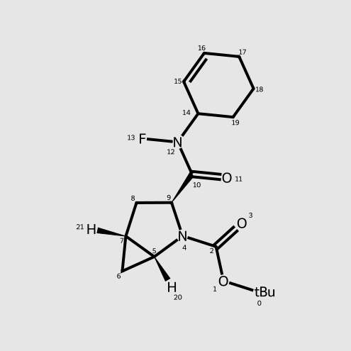 CC(C)(C)OC(=O)N1[C@@H]2C[C@@H]2C[C@H]1C(=O)N(F)C1C=CCCC1